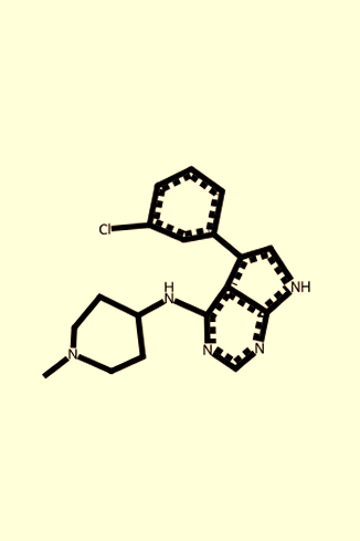 CN1CCC(Nc2ncnc3[nH]cc(-c4cccc(Cl)c4)c23)CC1